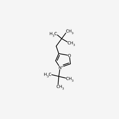 CC(C)(C)Cc1c[n+](C(C)(C)C)co1